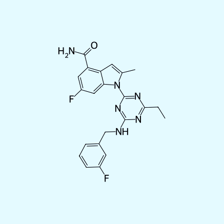 CCc1nc(NCc2cccc(F)c2)nc(-n2c(C)cc3c(C(N)=O)cc(F)cc32)n1